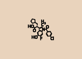 Cc1c([C@H](CC2CCCC2)C(=O)O)c2cc(O)c(F)cc2n1C(=O)c1ccc(Cl)cc1